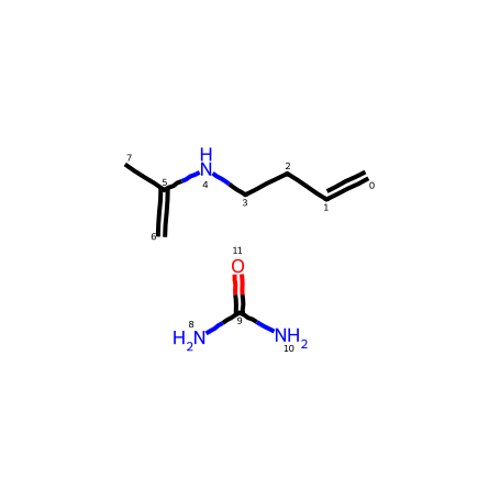 C=CCCNC(=C)C.NC(N)=O